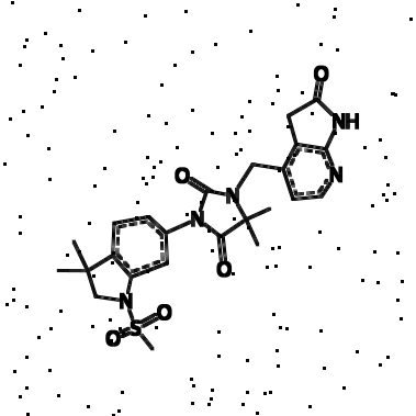 CC1(C)CN(S(C)(=O)=O)c2cc(N3C(=O)N(Cc4ccnc5c4CC(=O)N5)C(C)(C)C3=O)ccc21